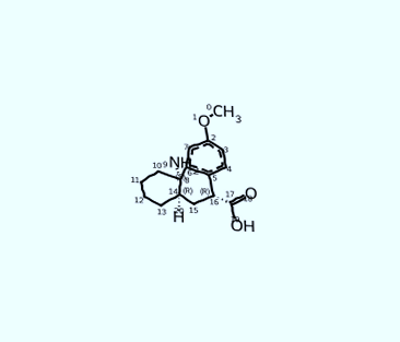 COc1ccc2c(c1)[C@]1(N)CCCC[C@@H]1C[C@H]2C(=O)O